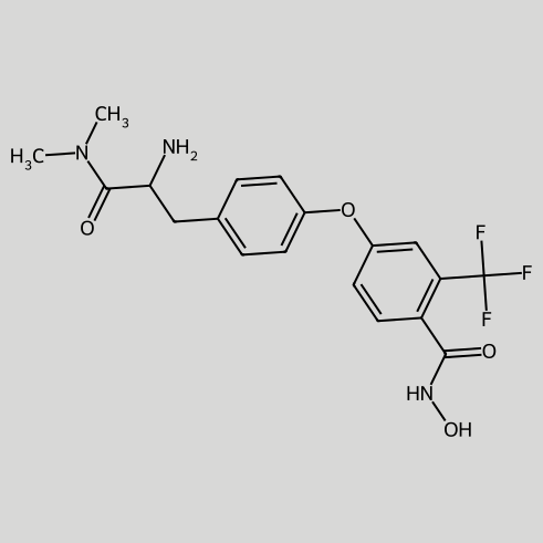 CN(C)C(=O)C(N)Cc1ccc(Oc2ccc(C(=O)NO)c(C(F)(F)F)c2)cc1